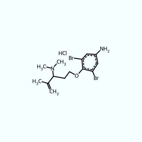 C=C(C)C(CCOc1c(Br)cc(N)cc1Br)N(C)C.Cl